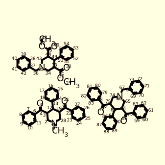 CN1CC(C(=O)c2ccccc2)C(c2ccccc2)C(C(=O)c2ccccc2)C1.COC(=O)C1CN(Cc2ccccc2)CC(C(=O)OC)C1c1ccccc1.O=C(c1ccccc1)C1CN(Cc2ccccc2)CC(C(=O)c2ccccc2)C1c1ccccc1